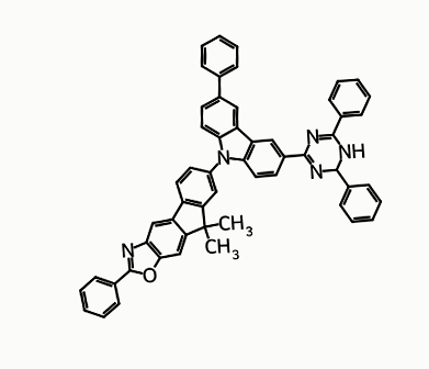 CC1(C)c2cc(-n3c4ccc(C5=NC(c6ccccc6)NC(c6ccccc6)=N5)cc4c4cc(-c5ccccc5)ccc43)ccc2-c2cc3nc(-c4ccccc4)oc3cc21